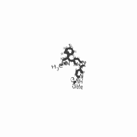 COC(=O)Nc1ccc(-c2cnc3ccc(-c4nn(C)cc4-c4ccc(F)cc4)cn23)cn1